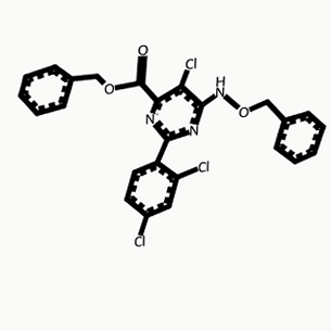 O=C(OCc1ccccc1)c1nc(-c2ccc(Cl)cc2Cl)nc(NOCc2ccccc2)c1Cl